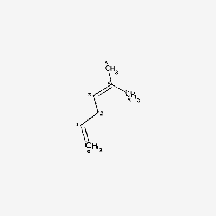 C=CCC=C(C)C